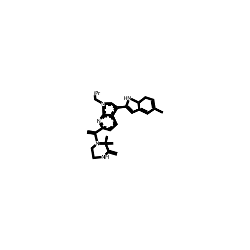 C=C(c1ccc2c(C3=CC4=CC(C)=CCC4N3)cn(CC(C)C)c2n1)N1CCNC(=C)C1(C)C